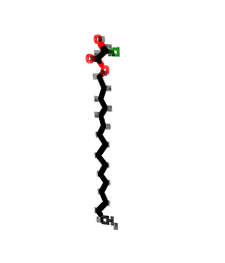 CCCCCCCCCCCCCCCCOC(=O)C(=O)Cl